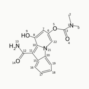 CN(C)C(=O)Oc1cc(O)c2c(C(N)=O)c3ccccc3n2c1